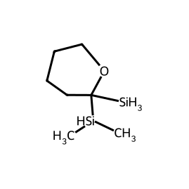 C[SiH](C)C1([SiH3])CCCCO1